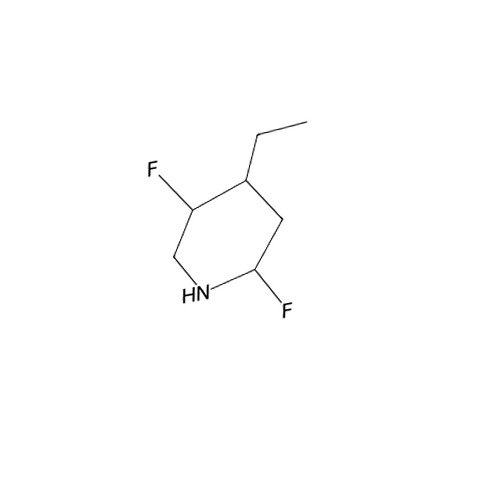 CCC1CC(F)NCC1F